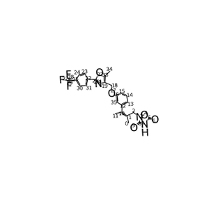 CC(Cn1oc(=O)[nH]c1=O)=C(C)c1cccc(OCc2nc(-c3ccc(C(F)(F)F)cc3)oc2C)c1